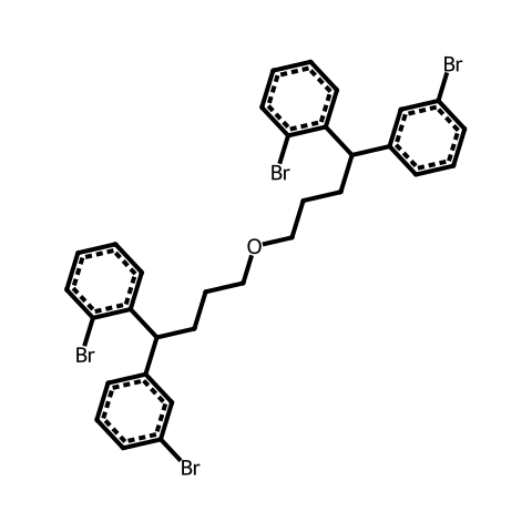 Brc1cccc(C(CCCOCCCC(c2cccc(Br)c2)c2ccccc2Br)c2ccccc2Br)c1